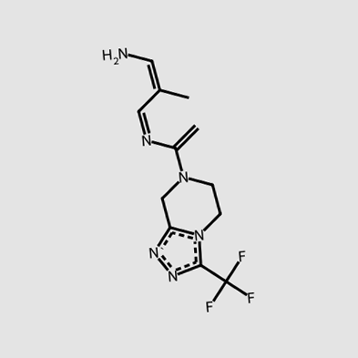 C=C(/N=C\C(C)=C/N)N1CCn2c(nnc2C(F)(F)F)C1